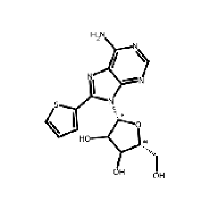 Nc1ncnc2c1nc(-c1cccs1)n2[C@@H]1O[C@H](CO)C(O)C1O